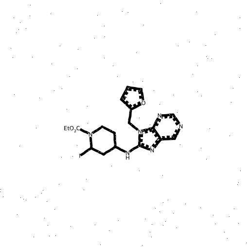 CCOC(=O)N1CCC(Nc2nc3cncnc3n2Cc2ccco2)CC1I